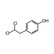 Oc1ccc(CC(Cl)Cl)cc1